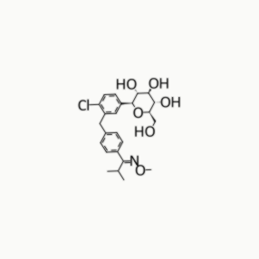 CON=C(c1ccc(Cc2cc([C@@H]3O[C@H](CO)[C@@H](O)[C@H](O)[C@H]3O)ccc2Cl)cc1)C(C)C